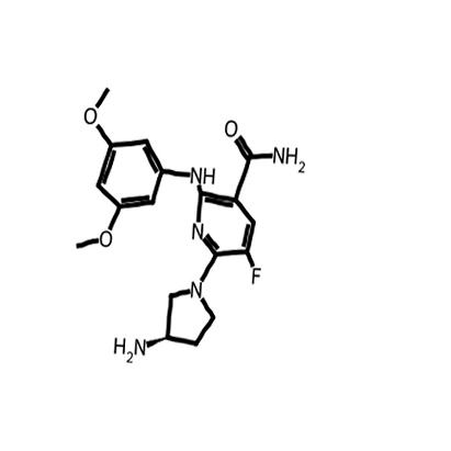 COc1cc(Nc2nc(N3CC[C@@H](N)C3)c(F)cc2C(N)=O)cc(OC)c1